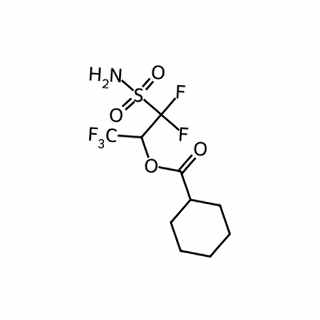 NS(=O)(=O)C(F)(F)C(OC(=O)C1CCCCC1)C(F)(F)F